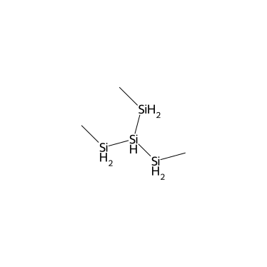 C[SiH2][SiH]([SiH2]C)[SiH2]C